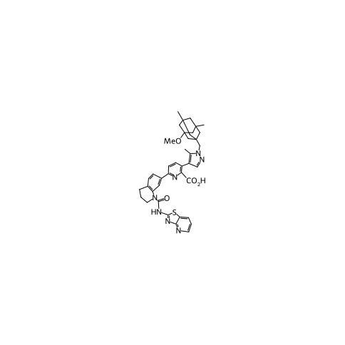 COC12CC3(C)CC(C)(CC(Cn4ncc(-c5ccc(-c6ccc7c(c6)N(C(=O)Nc6nc8ncccc8s6)CCC7)nc5C(=O)O)c4C)(C3)C1)C2